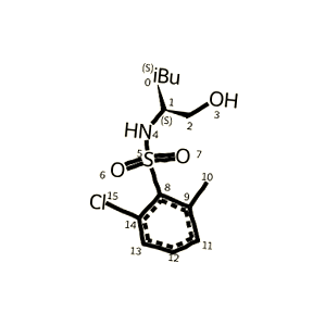 CC[C@H](C)[C@@H](CO)NS(=O)(=O)c1c(C)cccc1Cl